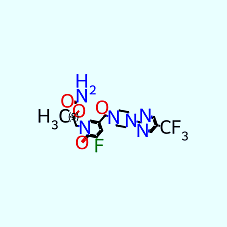 C[C@@H](Cn1cc(C(=O)N2CCN(c3ncc(C(F)(F)F)cn3)CC2)cc(F)c1=O)OC(N)=O